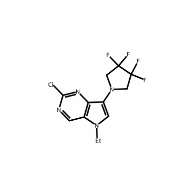 CCn1cc(N2CC(F)(F)C(F)(F)C2)c2nc(Cl)ncc21